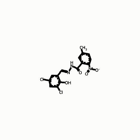 Cc1ccc([N+](=O)[O-])c(C(=O)N/N=C/c2cc(Cl)cc(Cl)c2O)c1